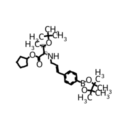 C[C@@H](OC(C)(C)C)[C@H](NCC=Cc1ccc(B2OC(C)(C)C(C)(C)O2)cc1)C(=O)OC1CCCC1